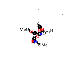 CCC(C(=O)O)C([C@H]1C[C@H](c2ccc(COCCOC)cc2)[C@@H](OCc2ccc3c(c2)N(CCCOC)CCO3)CN1)S(=O)(=O)c1ccc(C)cc1